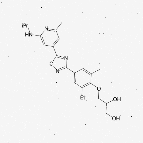 CCc1cc(-c2noc(-c3cc(C)nc(NC(C)C)c3)n2)cc(C)c1OCC(O)CO